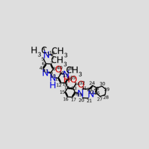 CC(C)N(C)Cc1ccc(Nc2cc(-c3cccc(N4CCn5c(cc6c5CCCC6)C4=O)c3CO)cn(C)c2=O)nc1